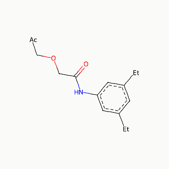 CCc1cc(CC)cc(NC(=O)COCC(C)=O)c1